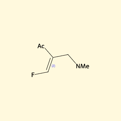 CNC/C(=C/F)C(C)=O